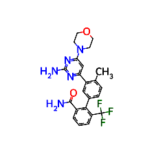 Cc1ccc(-c2c(C(N)=O)cccc2C(F)(F)F)cc1-c1cc(N2CCOCC2)nc(N)n1